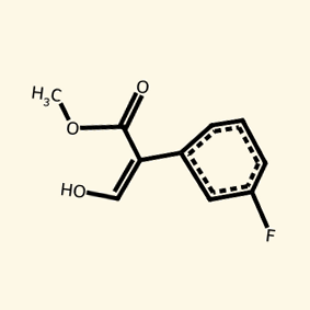 COC(=O)/C(=C\O)c1cccc(F)c1